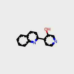 Oc1cnccc1-c1ccc2ccccc2n1